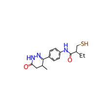 CCC(CS)C(=O)Nc1ccc(C2=NNC(=O)CC2C)cc1